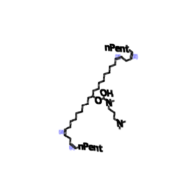 CCCCC/C=C\C/C=C\CCCCCCCCC(CCCCCCCC/C=C\C/C=C\CCCCC)OC(O)N(C)CCCN(C)C